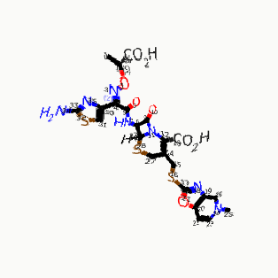 C[C@H](O/N=C(\C(=O)NC1C(=O)N2C(C(=O)O)=C(CSc3nc4c(o3)C=CN(C)C4)CS[C@H]12)c1csc(N)n1)C(=O)O